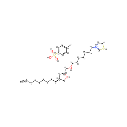 CCCCCCCCCCCCCCCCC[C@@H]1CO[C@@H](COCCCCCCC[n+]2ccsc2)C1.Cc1ccc(S(=O)(=O)[O-])cc1